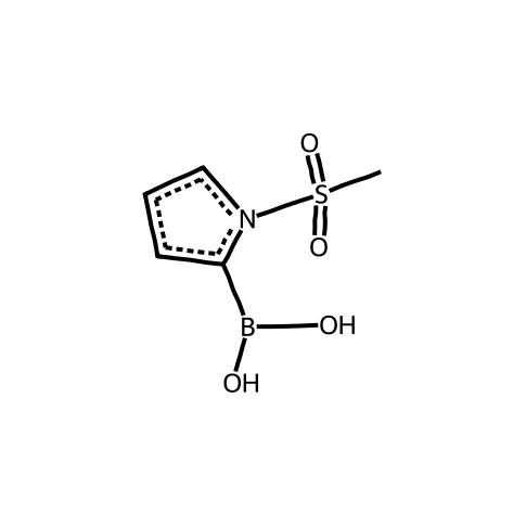 CS(=O)(=O)n1cccc1B(O)O